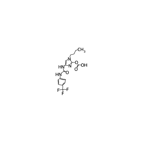 CCCCn1cc(NC(=O)Nc2ccc(C(F)(F)F)cc2)nc1OC(=O)O